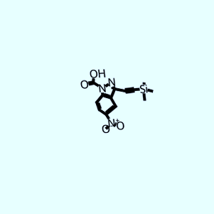 C[Si](C)(C)C#Cc1nn(C(=O)O)c2ccc([N+](=O)[O-])cc12